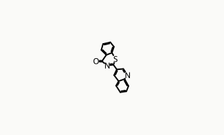 O=c1nc(-c2cnc3ccccc3c2)sc2ccccc12